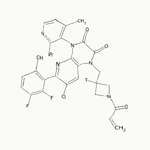 C=CC(=O)N1CC(F)(Cn2c(=O)c(=O)n(-c3c(C)ccnc3C(C)C)c3nc(-c4c(O)ccc(F)c4F)c(Cl)cc32)C1